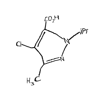 Cc1nn(C(C)C)c(C(=O)O)c1Cl